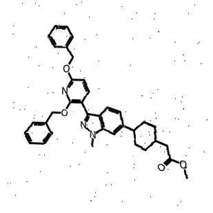 COC(=O)CC1CCC(c2ccc3c(-c4ccc(OCc5ccccc5)nc4OCc4ccccc4)nn(C)c3c2)CC1